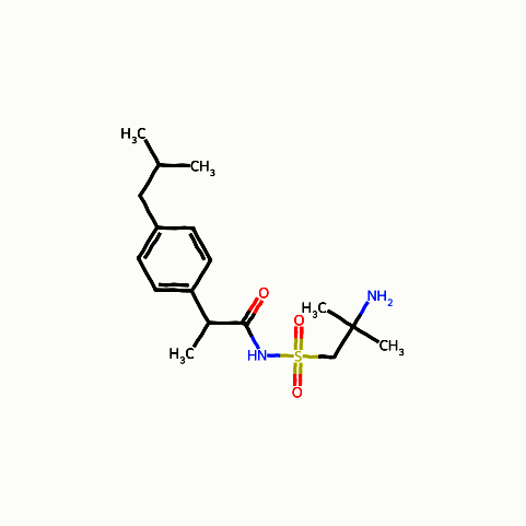 CC(C)Cc1ccc(C(C)C(=O)NS(=O)(=O)CC(C)(C)N)cc1